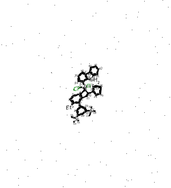 CCc1ccc2c(c1-c1cc([Si](C)(C)C)cc([Si](C)(C)C)c1)C=C(c1ccccc1)[CH]2[Zr]([Cl])([Cl])[c]1cccc2c1[SiH2]c1ccccc1-2